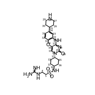 N=C(N)NCCS(=O)(=O)N[C@H]1CC[C@H](n2cc3c(nc2=O)Nc2cc(C4CCNCC4)ccc2O3)CC1